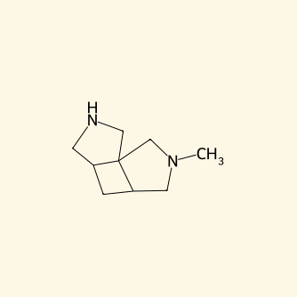 CN1CC2CC3CNCC32C1